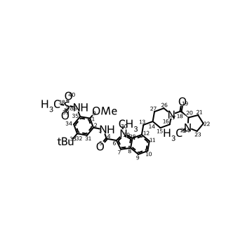 COc1c(NC(=O)c2cc3cccc(CC4CCN(C(=O)[C@H]5CCCN5C)CC4)c3n2C)cc(C(C)(C)C)cc1NS(C)(=O)=O